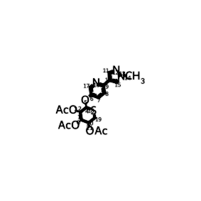 CC(=O)O[C@@H]1[C@@H](OC(C)=O)[C@@H](Oc2ccc(-c3cnn(C)c3)nc2)SC[C@H]1OC(C)=O